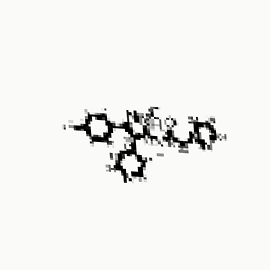 Cn1nc(-c2ccc(F)cc2)c(-c2ccncc2)c1NC(=O)Cn1cccn1